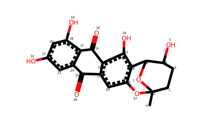 CC12CCC(O)C(O1)c1c(cc3c(c1O)C(=O)c1c(O)cc(O)cc1C3=O)O2